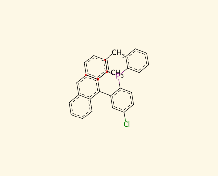 CC=C(C)c1ccc2ccccc2c1-c1cc(Cl)ccc1P(c1ccccc1)c1ccccc1